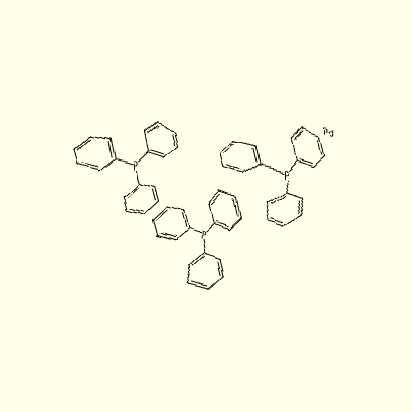 [Pd].c1ccc(P(c2ccccc2)c2ccccc2)cc1.c1ccc(P(c2ccccc2)c2ccccc2)cc1.c1ccc(P(c2ccccc2)c2ccccc2)cc1